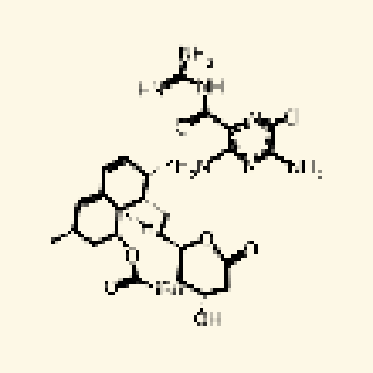 CC[C@H](C)C(=O)O[C@H]1C[C@@H](C)C=C2C=C[C@H](C)[C@H](CC[C@@H]3C[C@@H](O)CC(=O)O3)[C@H]21.N=C(N)NC(=O)c1nc(Cl)c(N)nc1N